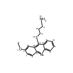 COc1ccc2nc3ccccc3c(SCCCN)c2c1